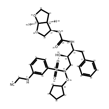 N#CCNc1cccc(S(=O)(=O)N(C[C@@H](O)[C@H](Cc2ccccc2)NC(=O)O[C@H]2CO[C@H]3OCC[C@H]32)OC2CCCC2)c1